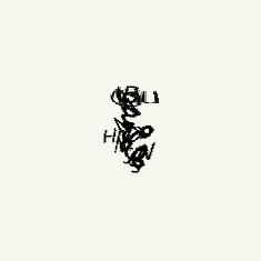 CC(C)(C)OC(=O)N1CCCC(Cc2csc(Nc3ncc(Sc4ccnc5ccsc45)cc3Oc3ccccc3)n2)C1